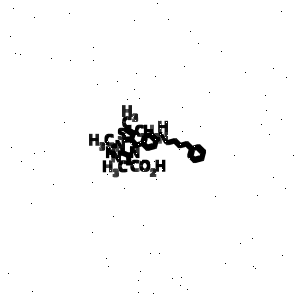 Cc1sc2c(c1C)C(c1ccc(NCCCCc3ccccc3)cc1)=NC([C@H](C)C(=O)O)c1nnc(C)n1-2